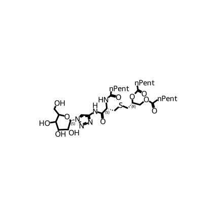 CCCCCC(=O)N[C@H](CSC[C@@H](COC(=O)CCCCC)OC(=O)CCCCC)C(=O)Nc1cn([C@H]2OC(CO)C(O)C(O)C2O)nn1